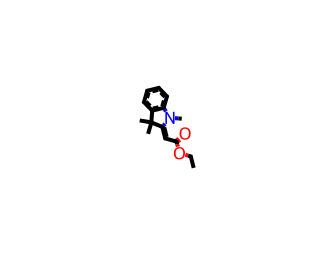 CCOC(=O)C=C1N(C)c2ccccc2C1(C)C